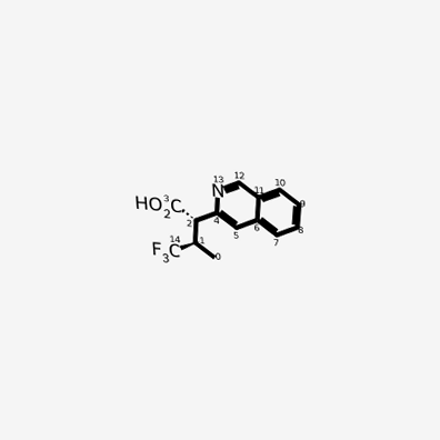 C[C@H]([C@H](C(=O)O)c1cc2ccccc2cn1)C(F)(F)F